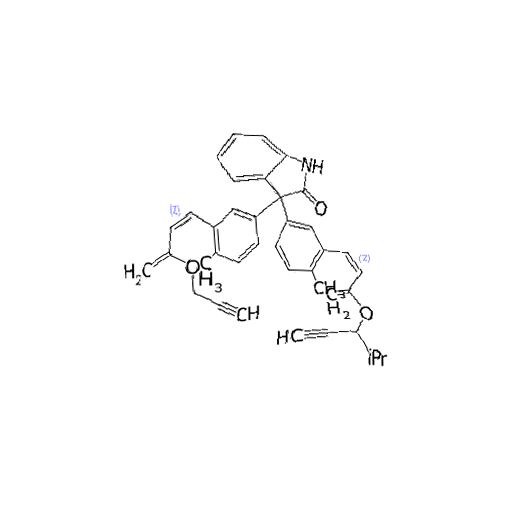 C#CCOC(=C)/C=C\c1cc(C2(c3ccc(C)c(/C=C\C(=C)OC(C#C)C(C)C)c3)C(=O)Nc3ccccc32)ccc1C